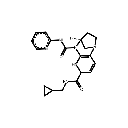 O=C(NCC1CC1)C1C=CC2=C(N1)N(C(=O)Nc1ccccn1)[C@H]1CCN2C1